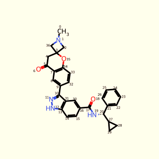 CN1CC2(CC(=O)c3cc(-c4n[nH]c5ccc(C(=O)N[C@H](c6ccccc6)C6CC6)cc45)ccc3O2)C1